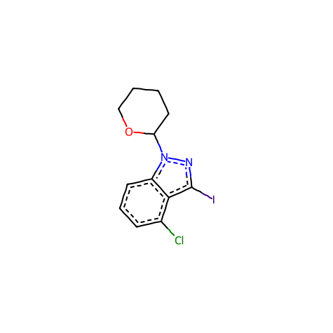 Clc1cccc2c1c(I)nn2C1CCCCO1